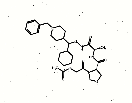 CC(=O)OCC(=O)N1CSC[C@H]1C(=O)N[C@H](C)C(=O)NSC(C1CCCCC1)C1CCN(Cc2ccccc2)CC1